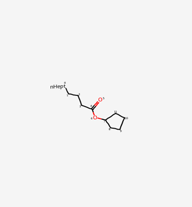 [CH2]CCCCCCCCCC(=O)OC1CCCC1